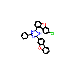 Clc1ccc2c(c1)oc1cccc(C3N=C(c4ccccc4)N=C(c4ccc5c(c4)oc4ccccc45)N3)c12